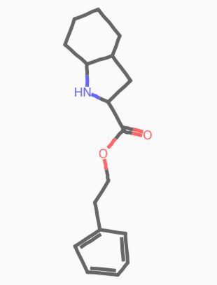 O=C(OCCc1ccccc1)C1CC2CCCCC2N1